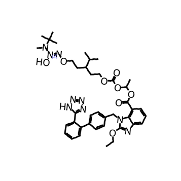 CCOc1nc2cccc(C(=O)OC(C)OC(=O)OCCC(CCO/N=[N+](\O)N(C)C(C)(C)C)C(C)C)c2n1Cc1ccc(-c2ccccc2-c2nnn[nH]2)cc1